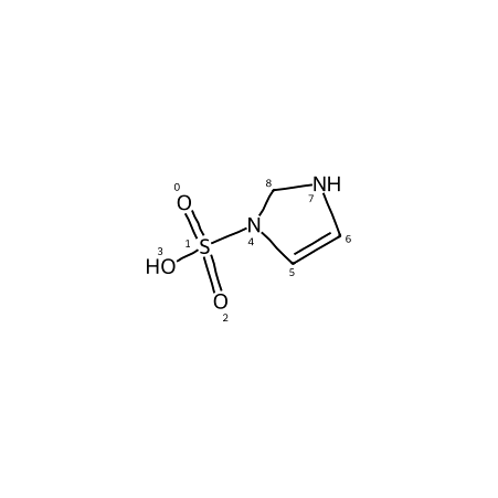 O=S(=O)(O)N1C=CNC1